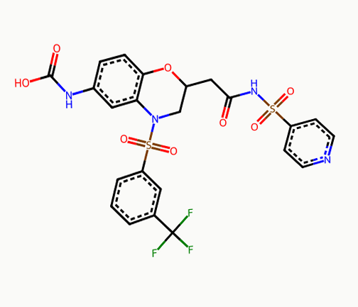 O=C(O)Nc1ccc2c(c1)N(S(=O)(=O)c1cccc(C(F)(F)F)c1)CC(CC(=O)NS(=O)(=O)c1ccncc1)O2